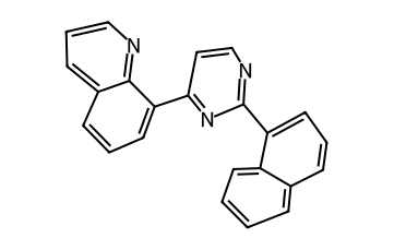 c1ccc2c(-c3nccc(-c4cccc5cccnc45)n3)cccc2c1